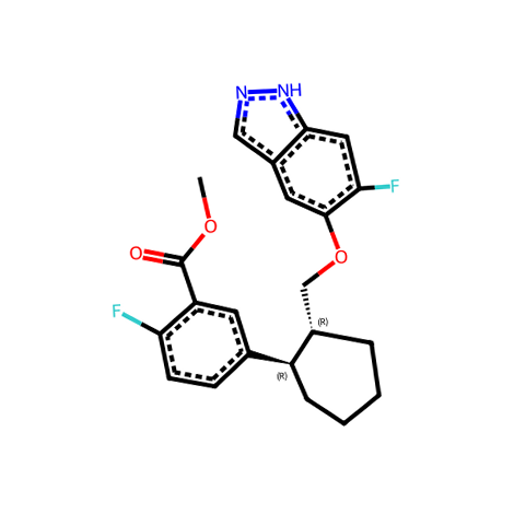 COC(=O)c1cc([C@@H]2CCCC[C@H]2COc2cc3cn[nH]c3cc2F)ccc1F